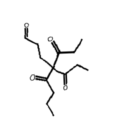 CCCC(=O)C(CCC=O)(C(=O)CC)C(=O)CC